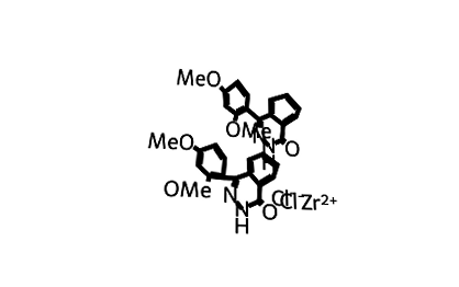 COc1ccc(-c2n[nH]c(=O)c3ccccc23)c(OC)c1.COc1ccc(-c2n[nH]c(=O)c3ccccc23)c(OC)c1.[Cl-].[Cl-].[Zr+2]